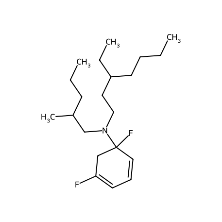 CCCCC(CC)CCN(CC(C)CCC)C1(F)C=CC=C(F)C1